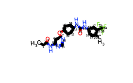 CCC(=O)Nc1cc(Oc2ccc(NC(=O)Nc3ccc(C)c(C(F)(F)F)c3)cc2)ncn1